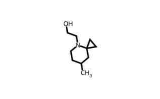 CC1CCN(CCO)C2(CC2)C1